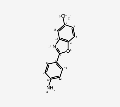 [CH2]c1ccc2oc(-c3ccc(N)cc3)nc2c1